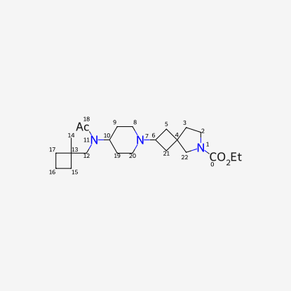 CCOC(=O)N1CCC2(CC(N3CCC(N(CC4(C)CCC4)C(C)=O)CC3)C2)C1